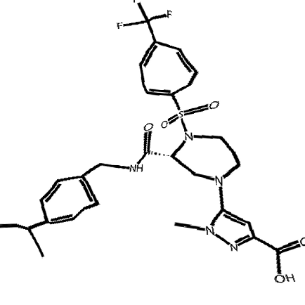 CC(C)c1ccc(CNC(=O)[C@H]2CN(c3cc(C(=O)O)nn3C)CCN2S(=O)(=O)c2ccc(C(F)(F)F)cc2)cc1